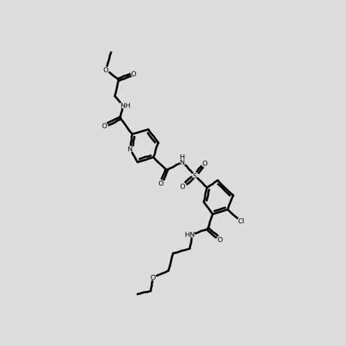 CCOCCCNC(=O)c1cc(S(=O)(=O)NC(=O)c2ccc(C(=O)NCC(=O)OC)nc2)ccc1Cl